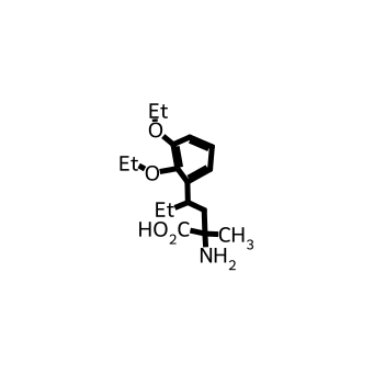 CCOc1cccc(C(CC)CC(C)(N)C(=O)O)c1OCC